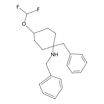 FC(F)OC1CCC(Cc2ccccc2)(NCc2ccccc2)CC1